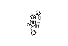 COC(=O)N[C@@H](Cc1ccccc1)C(=O)NCc1csc(-c2sccc2Cl)n1